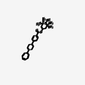 CC1(C)CC(OC(=O)c2ccc(C3CCC(C4C=CC=CC=C4)CC3)cc2)CC(C)(C)N1O